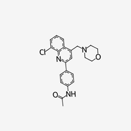 CC(=O)Nc1ccc(-c2cc(CN3CCOCC3)c3cccc(Cl)c3n2)cc1